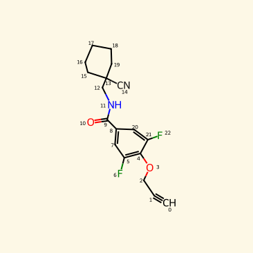 C#CCOc1c(F)cc(C(=O)NCC2(C#N)CCCCC2)cc1F